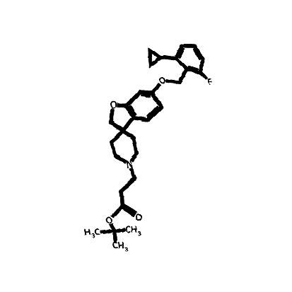 CC(C)(C)OC(=O)CCN1CCC2(CC1)COc1cc(OCc3c(F)cccc3C3CC3)ccc12